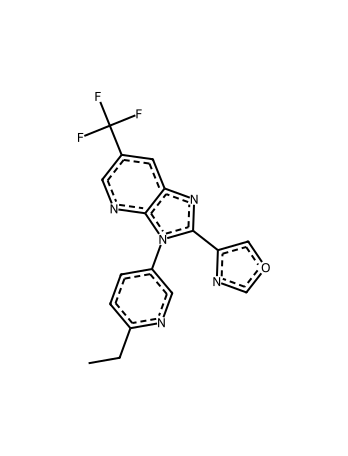 CCc1ccc(-n2c(-c3cocn3)nc3cc(C(F)(F)F)cnc32)cn1